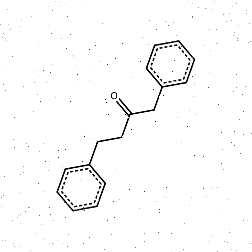 O=C(CCc1ccccc1)Cc1ccccc1